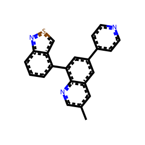 Cc1cnc2c(-c3cccc4nscc34)cc(-c3ccncc3)cc2c1